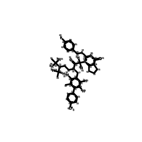 [2H]c1c([2H])c(-c2ccc(C(F)(F)F)cc2)c(C)c([2H])c1CN(CCN(C([2H])([2H])C)C([2H])([2H])C)C(=O)C([2H])([2H])n1c(SCc2ccc(F)cc2)nc(=O)c2c1CCC2